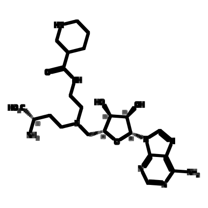 Nc1ncnc2c1ncn2[C@@H]1O[C@H](CN(CCNC(=O)C2CCCNC2)CC[C@H](N)C(=O)O)[C@@H](O)[C@H]1O